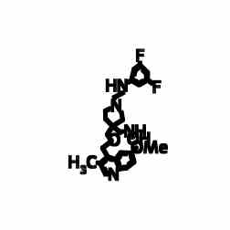 COc1ccc2ncc(C)c(CCCC3(C(=O)NO)CCN(CCNc4cc(F)cc(F)c4)CC3)c2c1